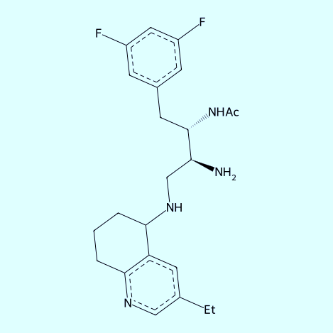 CCc1cnc2c(c1)C(NC[C@H](N)[C@H](Cc1cc(F)cc(F)c1)NC(C)=O)CCC2